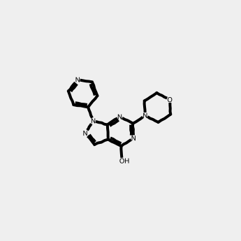 Oc1nc(N2CCOCC2)nc2c1cnn2-c1ccncc1